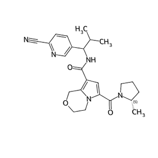 CC(C)C(NC(=O)c1cc(C(=O)N2CCC[C@@H]2C)n2c1COCC2)c1ccc(C#N)nc1